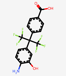 Nc1ccc(C(c2ccc(C(=O)O)cc2)(C(F)(F)F)C(F)(F)F)cc1O